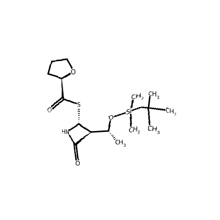 C[C@@H](O[Si](C)(C)C(C)(C)C)[C@H]1C(=O)N[C@@H]1SC(=O)[C@H]1CCCO1